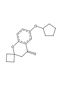 O=C1CC2(CCC2)Oc2ccc(OC3CCCC3)cc21